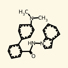 CN(C)c1ccc(-c2ccccc2C(=O)Nn2ccc3ccccc32)cc1